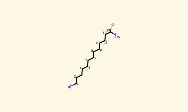 ICCCCCCCCCCCCC(I)I